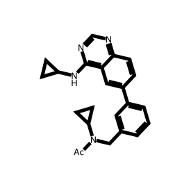 CC(=O)N(Cc1cccc(-c2ccc3ncnc(NC4CC4)c3c2)c1)C1CC1